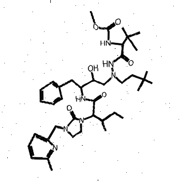 CCC(C)C(C(=O)NC(Cc1ccccc1)C(O)CN(CCC(C)(C)C)NC(=O)C(NC(=O)OC)C(C)(C)C)N1CCN(Cc2cccc(C)n2)C1=O